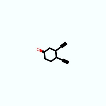 C#CC1CCC(=O)CC1C#C